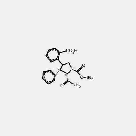 CC(C)(C)OC(=O)N1CC(c2ccccc2C(=O)O)[C@@H](c2ccccc2)[C@H]1C(N)=O